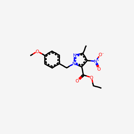 CCOC(=O)c1c([N+](=O)[O-])c(C)nn1Cc1ccc(OC)cc1